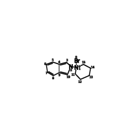 Br[N+]1(n2cc3ccccc3c2)CCCCC1